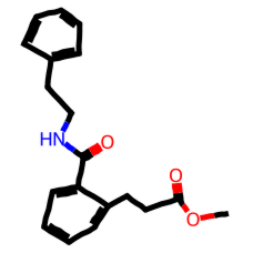 COC(=O)CCc1ccccc1C(=O)NCCc1ccccc1